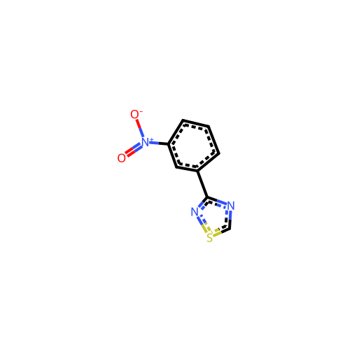 O=[N+]([O-])c1cccc(-c2ncsn2)c1